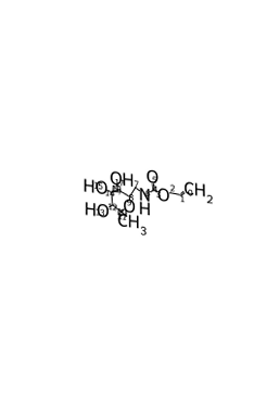 C=CCOC(=O)NCC1O[C@@H](C)C(O)C(O)[C@@H]1O